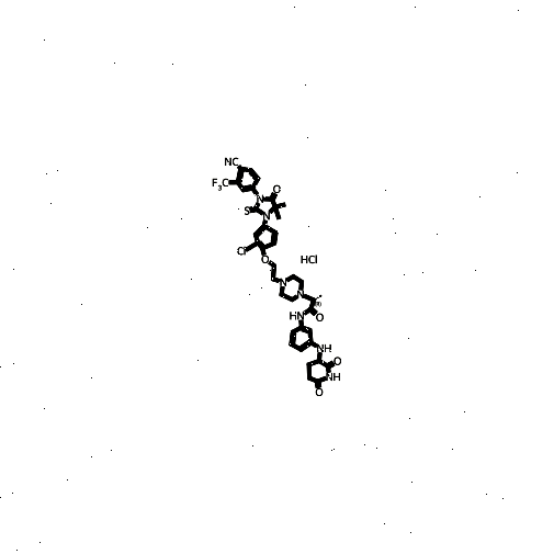 C[C@H](C(=O)Nc1cccc(NC2CCC(=O)NC2=O)c1)N1CCN(CCOc2ccc(N3C(=S)N(c4ccc(C#N)c(C(F)(F)F)c4)C(=O)C3(C)C)cc2Cl)CC1.Cl